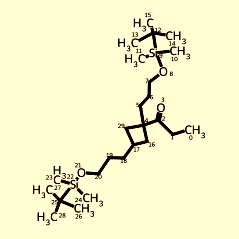 CCC(=O)C1(CCCO[Si](C)(C)C(C)(C)C)CC(CCCO[Si](C)(C)C(C)(C)C)C1